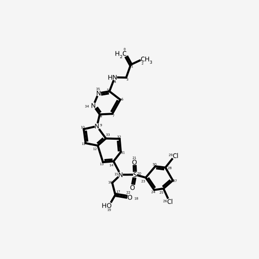 C=C(C)CNc1ccc(-n2ccc3cc(N(CC(=O)O)S(=O)(=O)c4cc(Cl)cc(Cl)c4)ccc32)nn1